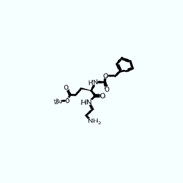 CC(C)(C)OC(=O)CC[C@@H](NC(=O)OCc1ccccc1)C(=O)NCCN